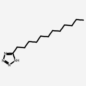 CCCCCCCCCCCCc1nnn[nH]1